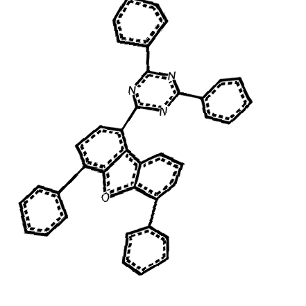 c1ccc(-c2nc(-c3ccccc3)nc(-c3ccc(-c4ccccc4)c4oc5c(-c6ccccc6)cccc5c34)n2)cc1